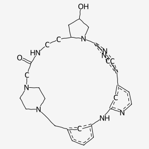 O=C1CN2CCN(CC2)Cc2cccc(c2)Nc2cc(ccn2)-c2cnc(nc2)N2CC(O)CC2CCN1